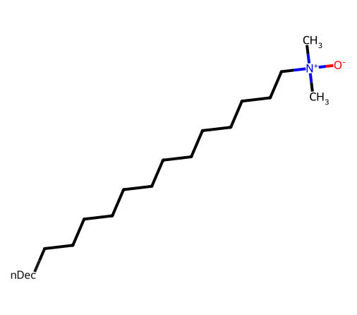 CCCCCCCCCCCCCCCCCCCCCCC[N+](C)(C)[O-]